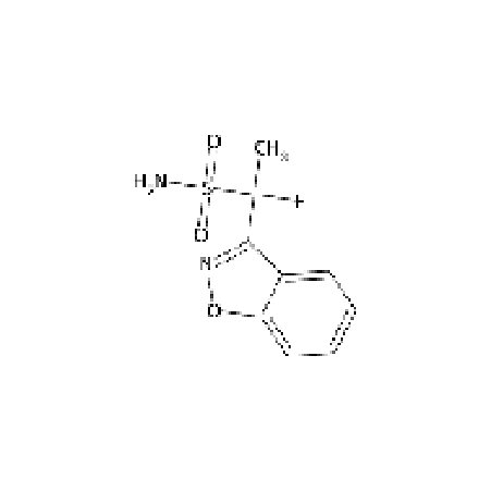 CC(F)(c1noc2ccccc12)S(N)(=O)=O